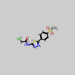 CS(=O)(=O)c1ccc(-c2nnc(NC(=O)CCl)s2)cc1